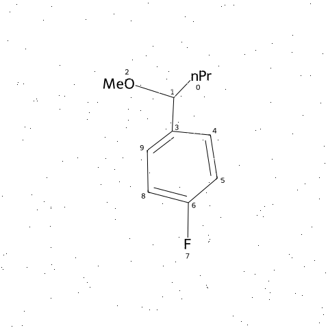 CCCC(OC)c1ccc(F)cc1